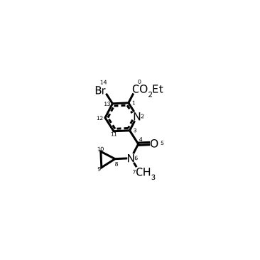 CCOC(=O)c1nc(C(=O)N(C)C2CC2)ccc1Br